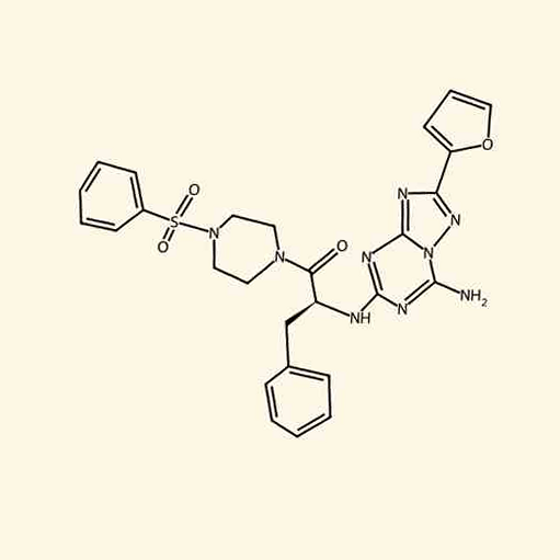 Nc1nc(N[C@@H](Cc2ccccc2)C(=O)N2CCN(S(=O)(=O)c3ccccc3)CC2)nc2nc(-c3ccco3)nn12